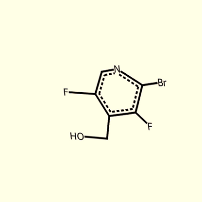 OCc1c(F)cnc(Br)c1F